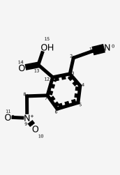 N#CCc1cccc(C[N+](=O)[O-])c1C(=O)O